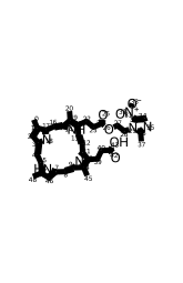 CC1=Cc2cc3[nH]c(cc4nc(cc5[nH]c(cc1n2)c(C)c5CCC(=O)OCCn1c([N+](=O)[O-])cnc1C)C(CCC(=O)O)=C4C)cc3C